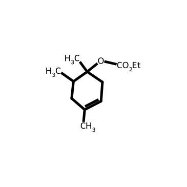 CCOC(=O)OC1(C)CC=C(C)CC1C